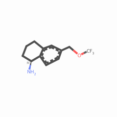 N[C@H]1CCCc2cc(COC(F)(F)F)ccc21